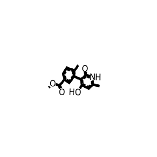 COC(=O)c1ccc(C)c(-c2c(O)cc(C)[nH]c2=O)c1